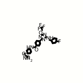 NS(=O)(=O)c1ccc(NC(=O)c2ccc(-c3nc(NCc4ccc(F)cc4)nc(OCC(F)(F)F)n3)cc2)cc1